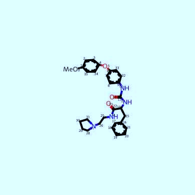 COc1ccc(Oc2ccc(NC(=O)NC(Cc3ccccc3)C(=O)NCCN3CCCC3)cc2)cc1